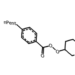 CCCCCc1ccc(C(=O)OO[C]2CCCCC2)cc1